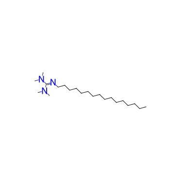 CCCCCCCCCCCCCCCCN=C(N(C)C)N(C)C